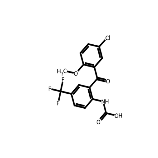 COc1ccc(Cl)cc1C(=O)c1cc(C(F)(F)F)ccc1NC(=O)O